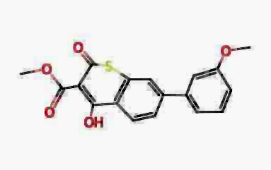 COC(=O)c1c(O)c2ccc(-c3cccc(OC)c3)cc2sc1=O